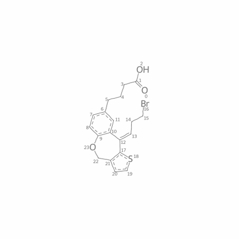 O=C(O)CCCc1ccc2c(c1)/C(=C\CCBr)c1sccc1CO2